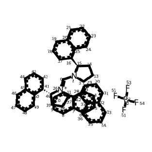 C(N1[C@@H](c2cccc3ccccc23)CC[C@@H]1c1cccc2ccccc12)=[N+]1[C@@H](c2cccc3ccccc23)CC[C@@H]1c1cccc2ccccc12.F[B-](F)(F)F